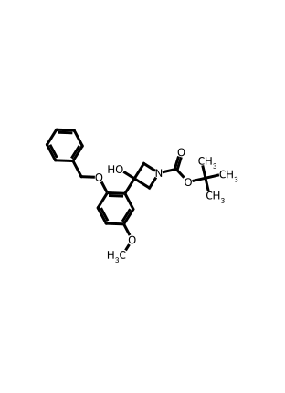 COc1ccc(OCc2ccccc2)c(C2(O)CN(C(=O)OC(C)(C)C)C2)c1